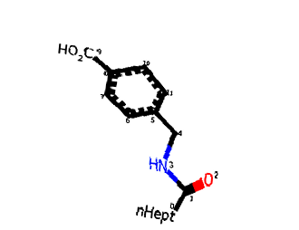 CCCCCCCC(=O)NCc1ccc(C(=O)O)cc1